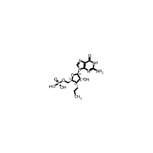 CCC[C@H]1[C@@H](O)[C@H](n2cnc3c(=O)[nH]c(N)nc32)O[C@@H]1COP(=O)(O)O